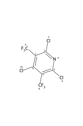 FC(F)(F)c1c(Cl)nc(Cl)c(C(F)(F)F)c1Cl